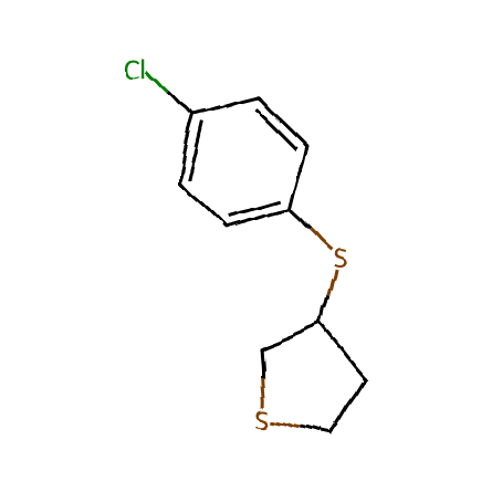 Clc1ccc(SC2CCSC2)cc1